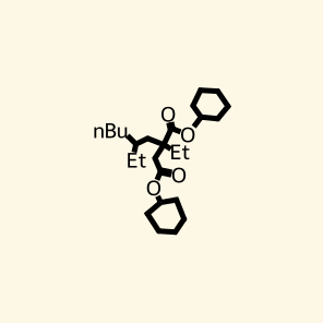 CCCCC(CC)CC(CC)(CC(=O)OC1CCCCC1)C(=O)OC1CCCCC1